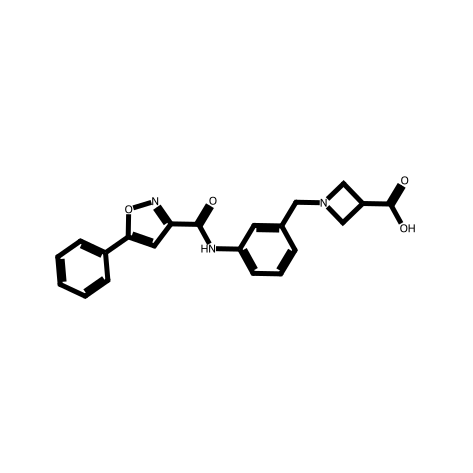 O=C(Nc1cccc(CN2CC(C(=O)O)C2)c1)c1cc(-c2ccccc2)on1